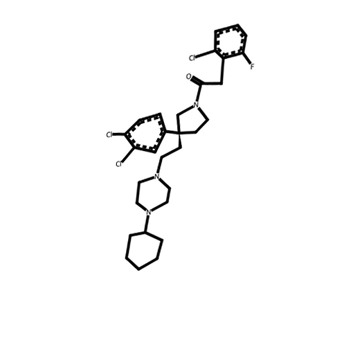 O=C(Cc1c(F)cccc1Cl)N1CC[C@](CCN2CCN(C3CCCCC3)CC2)(c2ccc(Cl)c(Cl)c2)C1